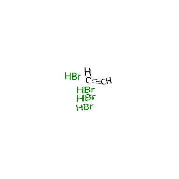 Br.Br.Br.Br.C#C